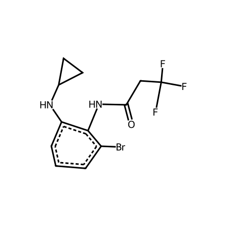 O=C(CC(F)(F)F)Nc1c(Br)cccc1NC1CC1